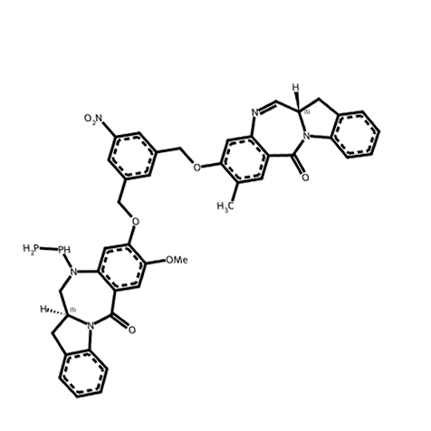 COc1cc2c(cc1OCc1cc(COc3cc4c(cc3C)C(=O)N3c5ccccc5C[C@H]3C=N4)cc([N+](=O)[O-])c1)N(PP)C[C@@H]1Cc3ccccc3N1C2=O